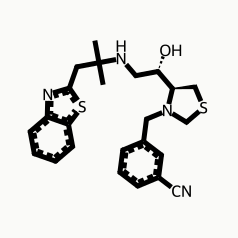 CC(C)(Cc1nc2ccccc2s1)NC[C@H](O)[C@H]1CSCN1Cc1cccc(C#N)c1